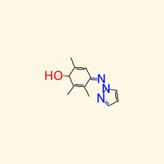 CC1=C/C(=N/n2cccn2)C(C)=C(C)C1O